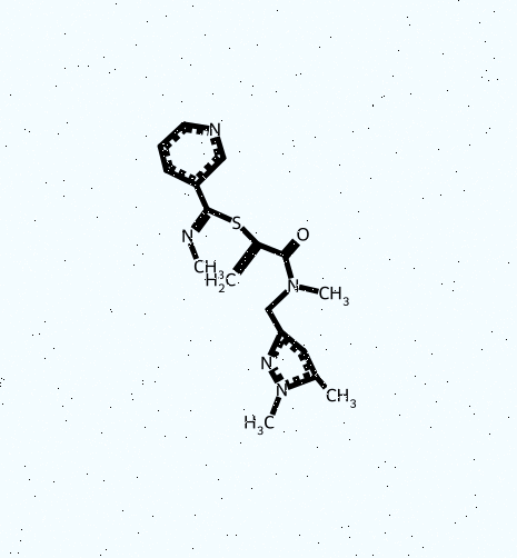 C=C(S/C(=N\C)c1cccnc1)C(=O)N(C)Cc1cc(C)n(C)n1